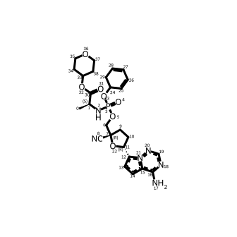 C[C@H](NP(=O)(OC[C@]1(C#N)CC[C@H](c2ccc3c(N)ncnn23)O1)OC1C=CC=CC1)C(=O)OC1CCOCC1